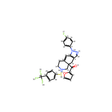 O=C(c1ccco1)C12Cc3cnn(-c4ccc(F)cc4)c3C=C1CCN(Sc1ccc(C(F)(F)F)cc1)C2